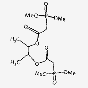 COP(=O)(CC(=O)OC(C)C(C)OC(=O)CP(=O)(OC)OC)OC